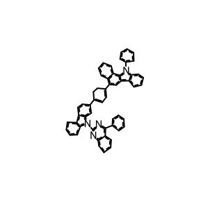 C1=C(c2ccc3c4ccccc4n(-c4nc(-c5ccccc5)c5ccccc5n4)c3c2)CCC(c2cc3c4ccccc4n(-c4ccccc4)c3c3ccccc23)=C1